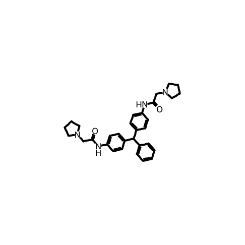 O=C(CN1CCCC1)Nc1ccc(C(c2ccccc2)c2ccc(NC(=O)CN3CCCC3)cc2)cc1